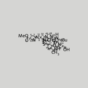 COC(=O)c1ccc(N2CC3(CC(N4CCN(CC(=O)N[C@H](C(=O)N5C[C@H](CO)C[C@H]5C(=O)N[C@@H](C)c5ccc(-c6scnc6C)cc5)C(C)(C)C)CC4)C3)C2)nc1